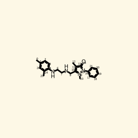 Cc1ccc(NCCNCc2c(C)c(=O)n(-c3ccccc3)n2C)c(C)c1